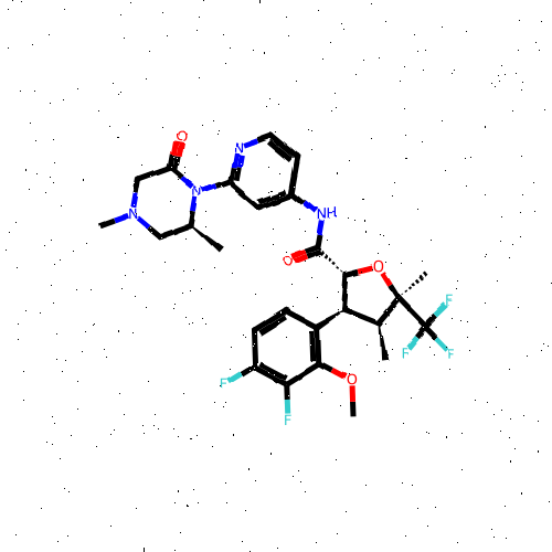 COc1c([C@H]2[C@H](C(=O)Nc3ccnc(N4C(=O)CN(C)C[C@@H]4C)c3)O[C@@](C)(C(F)(F)F)[C@H]2C)ccc(F)c1F